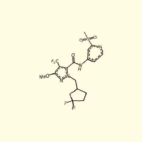 COc1nn(CC2CCC(F)(F)C2)c(C(=O)Nc2ccnc(S(C)(=O)=O)c2)c1C(F)(F)F